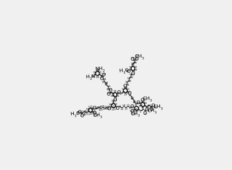 COC(=O)C=Cc1ccc(OCCCCCCOc2cc(COc3cc(OCc4cc(OCCCCCCOc5ccc(C=CC(=O)OC)cc5OC)cc(OCCCCCCOc5ccc(C=CC(=O)OC)cc5OC)c4)cc(C(=O)OCCCCCCOC(=O)c4cc(N)cc(N)c4)c3)cc(OCCCCCCOc3ccc(C=CC(=O)OC)cc3OC)c2)c(OC)c1